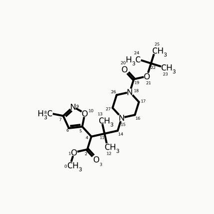 COC(=O)C(c1cc(C)no1)C(C)(C)CN1CCN(C(=O)OC(C)(C)C)CC1